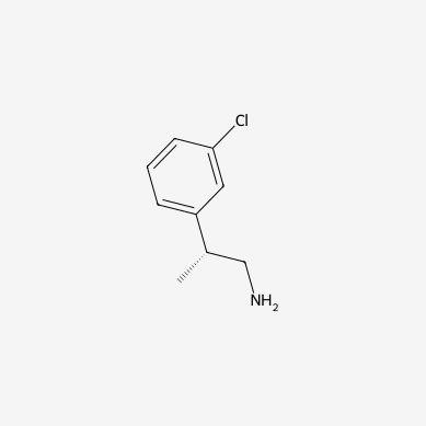 C[C@@H](CN)c1cccc(Cl)c1